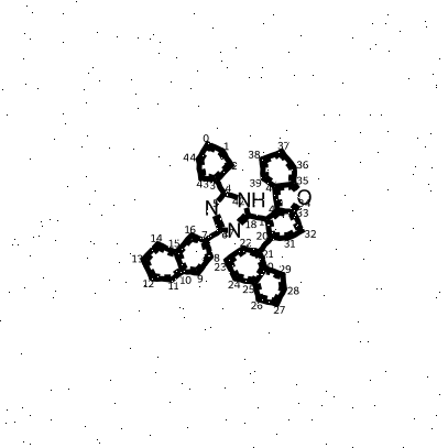 c1ccc(C2N=C(c3ccc4ccccc4c3)N=C(c3c(-c4cccc5ccccc45)ccc4oc5ccccc5c34)N2)cc1